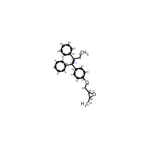 CC/C(=C(/c1ccccc1)c1ccc(OCC2OC2C)cc1)c1ccccc1